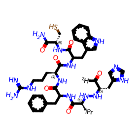 [2H]C(=O)[C@H](Cc1cnc[nH]1)NN[C@H](C(=O)NC(Cc1ccccc1)C(=O)N[C@@H](CCCNC(=N)N)C(=O)NC(Cc1c[nH]c2ccccc12)C(=O)N[C@@H](CS)C(N)=O)C(C)C